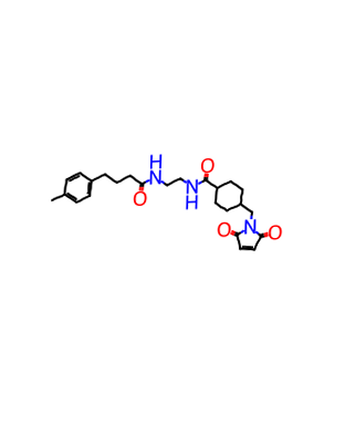 Cc1ccc(CCCC(=O)NCCNC(=O)C2CCC(CN3C(=O)C=CC3=O)CC2)cc1